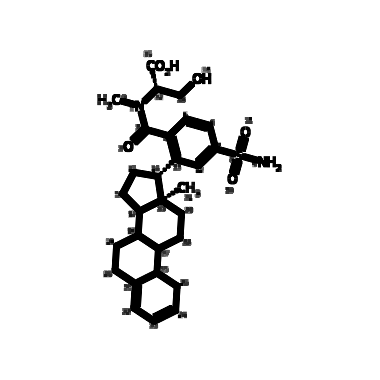 CN(C(=O)c1ccc(S(N)(=O)=O)cc1[C@H]1CCC2C3CCC4=CC=CCC4C3CC[C@@]21C)[C@@H](CO)C(=O)O